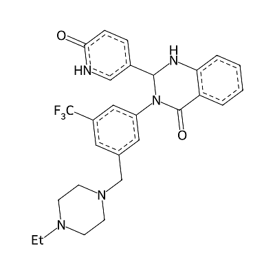 CCN1CCN(Cc2cc(N3C(=O)c4ccccc4NC3c3ccc(=O)[nH]c3)cc(C(F)(F)F)c2)CC1